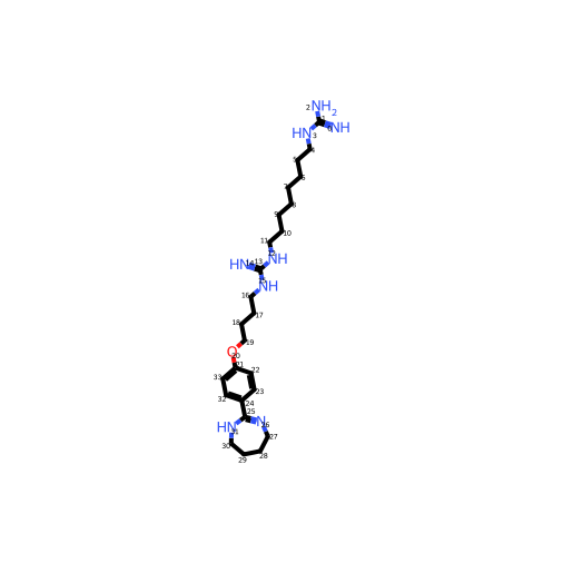 N=C(N)NCCCCCCCCNC(=N)NCCCCOc1ccc(C2=NCCCCN2)cc1